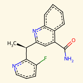 C[C@@H](c1cc(C(N)=O)c2ccccc2n1)c1ncccc1F